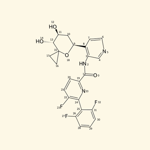 O=C(Nc1cnccc1[C@@H]1C[C@H](O)[C@@H](O)C2(CC2)O1)c1ccc(F)c(-c2c(F)cccc2F)n1